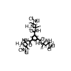 CC(C)(CC(C)(N)N(Cl)Cl)NC(=O)c1cc(C(=O)NC(C)(C)CC(C)(N)N(Cl)Cl)cc(C(=O)NC(C)(N)CC(C)(C)N(Cl)Cl)c1